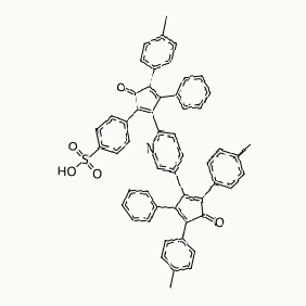 Cc1ccc(C2=C(c3ccccc3)C(c3ccc(C4=C(c5ccc(S(=O)(=O)O)cc5)C(=O)C(c5ccc(C)cc5)=C4c4ccccc4)nc3)=C(c3ccc(C)cc3)C2=O)cc1